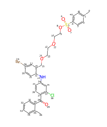 Cc1ccc(S(=O)(=O)OCCOCCOCc2cc(Br)ccc2Nc2ccc(C(=O)c3ccccc3C)c(Cl)c2)cc1